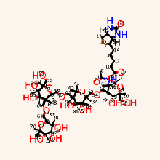 CC(=O)NC1(C)[C@](C)(OC(=O)CCCCC2SC[C@@H]3NC(=O)N[C@H]23)OC(C)(CO)[C@@H](O)[C@@]1(C)COC[C@@]1(C)OC(C)(C)[C@@](C)(COC[C@]2(C)OC(C)(CO)[C@@](C)(O)[C@@](C)(O)C2(C)COC[C@]2(C)OC(C)(C)[C@@](C)(O)[C@](C)(O)C2(C)O)[C@](C)(O)C1(C)O